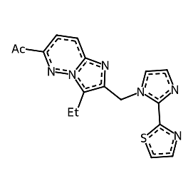 CCc1c(Cn2ccnc2-c2nccs2)nc2ccc(C(C)=O)nn12